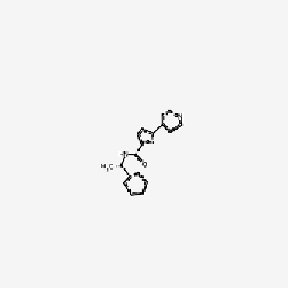 C[C@H](NC(=O)c1ccc(-c2ccncc2)s1)c1ccccc1